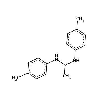 Cc1ccc(NC(C)Nc2ccc(C)cc2)cc1